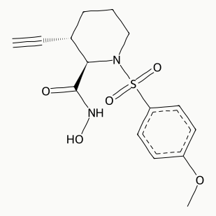 C#C[C@@H]1CCCN(S(=O)(=O)c2ccc(OC)cc2)[C@H]1C(=O)NO